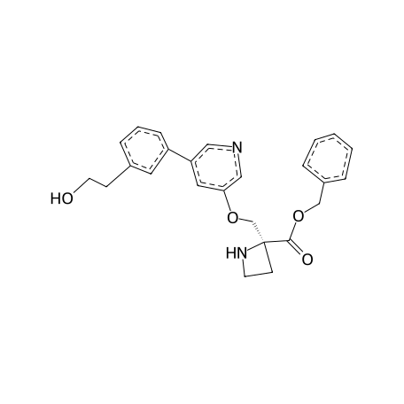 O=C(OCc1ccccc1)[C@@]1(COc2cncc(-c3cccc(CCO)c3)c2)CCN1